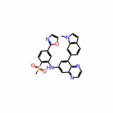 Cn1ccc2ccc(-c3cc(Nc4cc(-c5ncco5)ccc4S(C)(=O)=O)cc4nccnc34)cc21